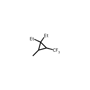 CCC1(CC)C(C)C1C(F)(F)F